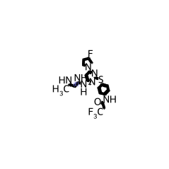 CC(=N)/C=C(\N)Nc1cc(N2CCC(F)C2)nc(Sc2ccc(NC(=O)CC(F)(F)F)cc2)n1